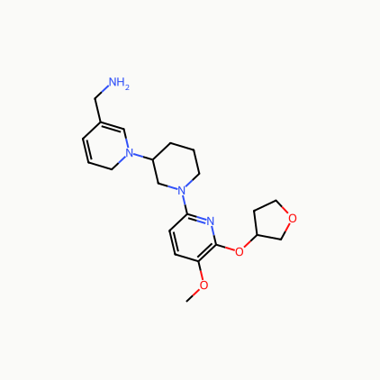 COc1ccc(N2CCCC(N3C=C(CN)C=CC3)C2)nc1OC1CCOC1